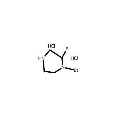 CCN1CCNCC1F.Cl.Cl